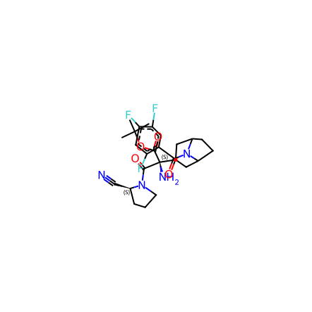 CC(C)(C)OC(=O)[C@@](N)(C(=O)N1CCC[C@H]1C#N)C1CC2CCC(C1)N2C(=O)c1cc(F)c(F)cc1F